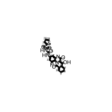 NC(=O)c1c(O)c2ccccc2c(=O)n1-c1ccc(NC(=O)NS(=O)(=O)c2cccs2)cc1F